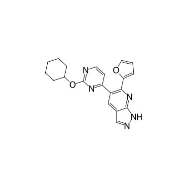 c1coc(-c2nc3[nH]ncc3cc2-c2ccnc(OC3CCCCC3)n2)c1